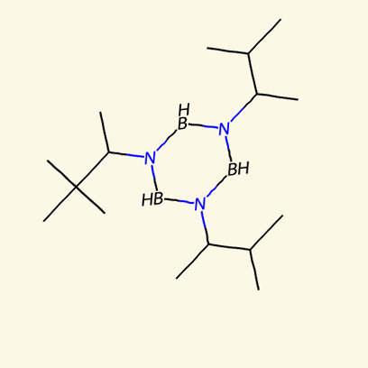 CC(C)C(C)N1BN(C(C)C(C)C)BN(C(C)C(C)(C)C)B1